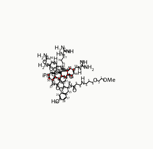 COCCOCCCNCCC(=O)N(C)[C@@H](Cc1ccc(O)cc1)C(=O)C[C@@H](Cc1ccccc1)C(=O)N(C)[C@@H](CC(C)C)C(=O)C[C@@H](Cc1ccccc1)C(=O)N(C)[C@@H](CCCNC(=N)N)C(=O)N1CCC[C@H]1C(=O)N[C@@H](CCCNC(=N)N)C(=O)N[C@@H](CC(N)=O)C(N)=O